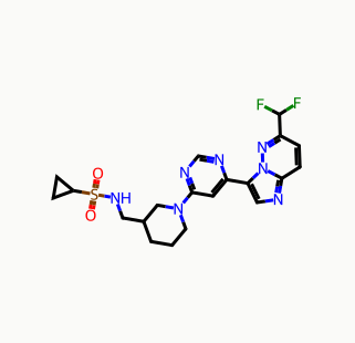 O=S(=O)(NCC1CCCN(c2cc(-c3cnc4ccc(C(F)F)nn34)ncn2)C1)C1CC1